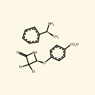 CCC1(CC)C(=O)N[C@H]1Oc1ccc(C(=O)O)cc1.C[C@H](N)c1ccccc1